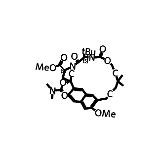 COC(=O)[C@@H]1C[C@]2(OC(=O)N(C)C)CN1C(=O)[C@H](C(C)(C)C)NC(=O)OCCC(C)(C)CCCc1cc3cc2ccc3cc1OC